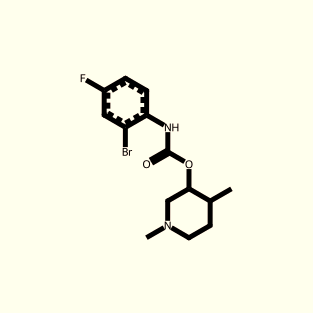 CC1CCN(C)CC1OC(=O)Nc1ccc(F)cc1Br